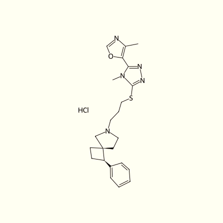 Cc1ncoc1-c1nnc(SCCCN2CC[C@@]3(CC[C@@H]3c3ccccc3)C2)n1C.Cl